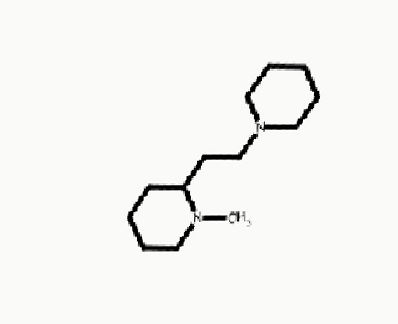 CN1CCCCC1CCN1CCCCC1